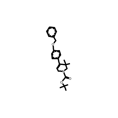 CC(C)(C)OC(=O)N1CC=C(c2ccc(OCc3ccccc3)cc2)C(C)(C)C1